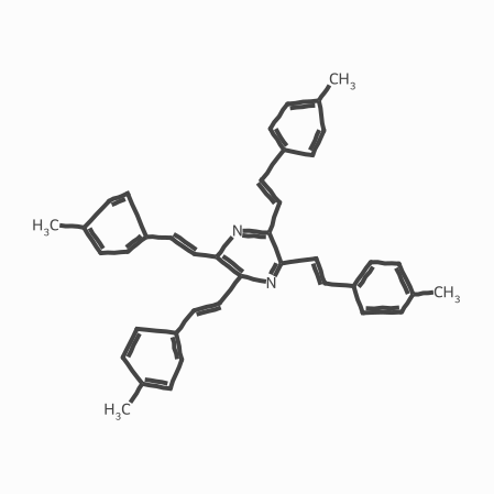 Cc1ccc(C=Cc2nc(C=Cc3ccc(C)cc3)c(C=Cc3ccc(C)cc3)nc2C=Cc2ccc(C)cc2)cc1